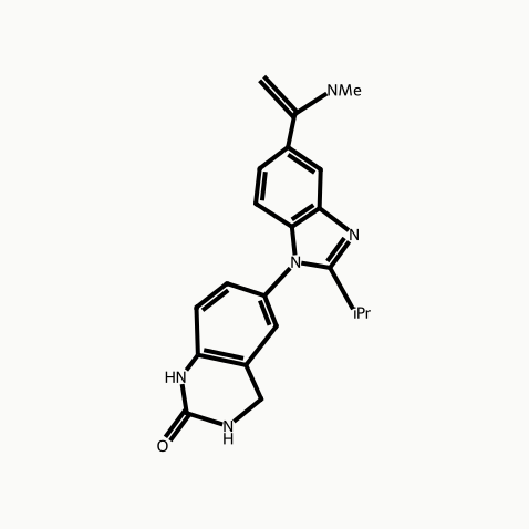 C=C(NC)c1ccc2c(c1)nc(C(C)C)n2-c1ccc2c(c1)CNC(=O)N2